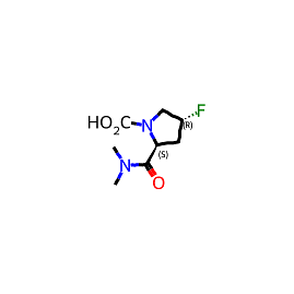 CN(C)C(=O)[C@@H]1C[C@@H](F)CN1C(=O)O